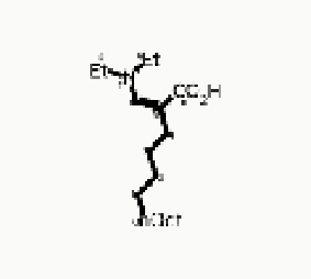 CCCCCCCCCCCCC(=CN(CC)CC)C(=O)O